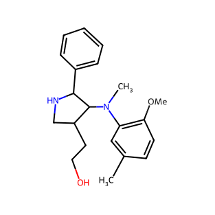 COc1ccc(C)cc1N(C)C1C(CCO)CNC1c1ccccc1